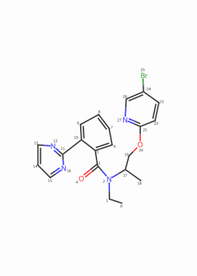 CCN(C(=O)c1ccccc1-c1ncccn1)C(C)COc1ccc(Br)cn1